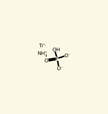 O=P([O-])([O-])O.[NH4+].[Ti+]